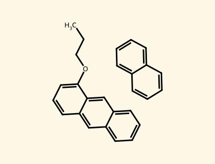 CCCOc1cccc2cc3ccccc3cc12.c1ccc2ccccc2c1